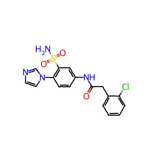 NS(=O)(=O)c1cc(NC(=O)Cc2ccccc2Cl)ccc1-n1ccnc1